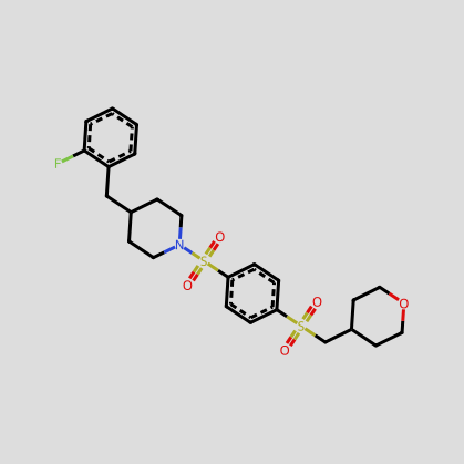 O=S(=O)(CC1CCOCC1)c1ccc(S(=O)(=O)N2CCC(Cc3ccccc3F)CC2)cc1